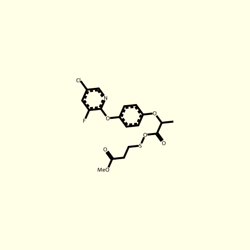 COC(=O)CCSOC(=O)C(C)Oc1ccc(Oc2ncc(Cl)cc2F)cc1